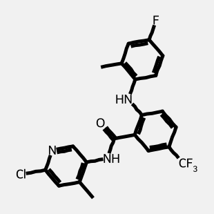 Cc1cc(Cl)ncc1NC(=O)c1cc(C(F)(F)F)ccc1Nc1ccc(F)cc1C